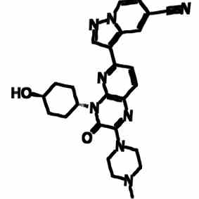 CN1CCN(c2nc3ccc(-c4cnn5ccc(C#N)cc45)nc3n([C@H]3CC[C@H](O)CC3)c2=O)CC1